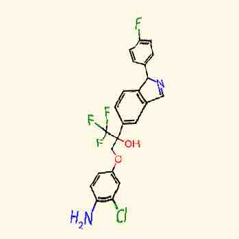 Nc1ccc(OCC(O)(c2ccc3c(c2)C=NC3c2ccc(F)cc2)C(F)(F)F)cc1Cl